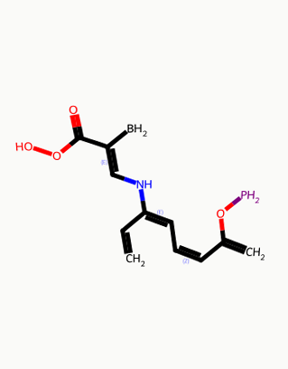 B/C(=C\N/C(C=C)=C/C=C\C(=C)OP)C(=O)OO